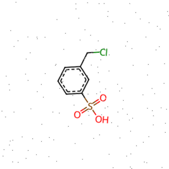 O=S(=O)(O)c1cccc(CCl)c1